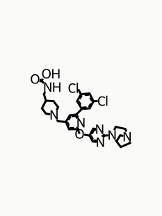 O=C(O)NCC1CCN(Cc2cc(Oc3cnc(N4CCN5CCC4C5)nc3)nc(-c3cc(Cl)cc(Cl)c3)c2)CC1